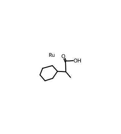 CC(C(=O)O)C1CCCCC1.[Ru]